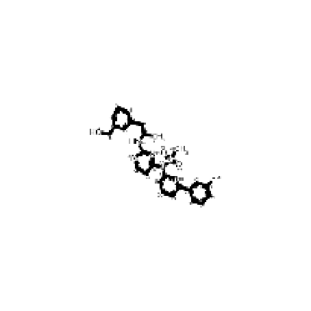 CC(Cc1cccc(CO)c1)Nc1nccc(N(c2cccc(-c3cccc(F)c3)n2)S(C)(=O)=O)n1